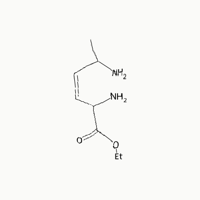 CCOC(=O)C(N)/C=C\C(C)N